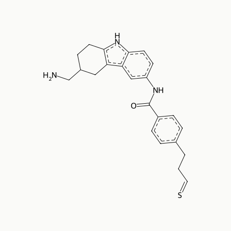 NCC1CCc2[nH]c3ccc(NC(=O)c4ccc(CCC=S)cc4)cc3c2C1